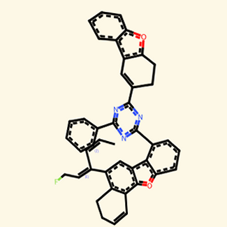 C/C=C\C(=C/CF)c1cc2c(oc3cccc(-c4nc(C5=Cc6c(oc7ccccc67)CC5)nc(-c5ccccc5)n4)c32)c2c1CCC=C2